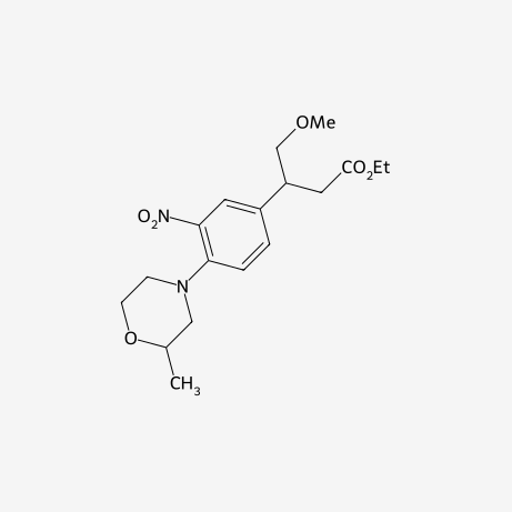 CCOC(=O)CC(COC)c1ccc(N2CCOC(C)C2)c([N+](=O)[O-])c1